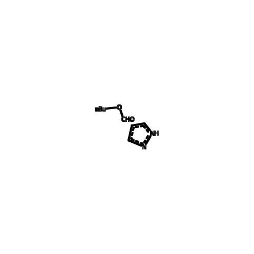 CCCCOC=O.c1cn[nH]c1